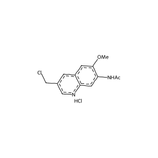 COc1cc2cc(CCl)cnc2cc1NC(C)=O.Cl